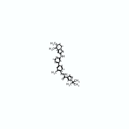 Cc1cc(-c2cc(Nc3cc4n(n3)CCN(C)C4C)ncn2)ccc1CNC(=O)c1cnn(C(C)(C)C)c1